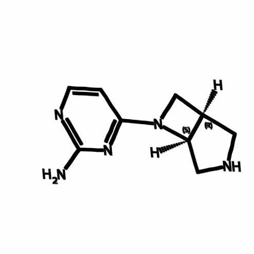 Nc1nccc(N2C[C@H]3CNC[C@H]32)n1